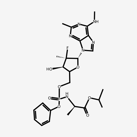 CNc1nc(C)nc2c1ncn2[C@@H]1OC(COP(=O)(N[C@H](C)C(=O)OC(C)C)Oc2ccccc2)[C@@H](O)[C@@]1(C)F